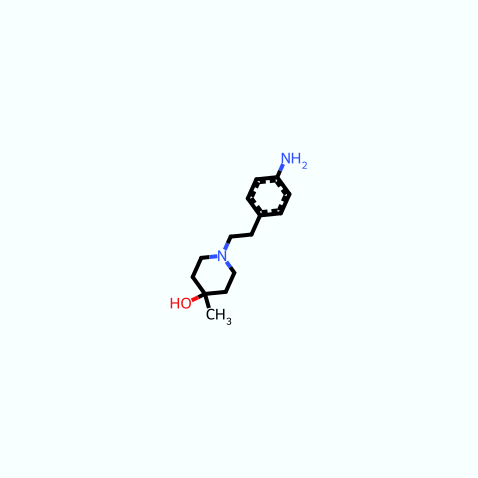 CC1(O)CCN(CCc2ccc(N)cc2)CC1